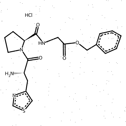 Cl.N[C@@H](Cc1cscn1)C(=O)N1CCC[C@H]1C(=O)NCC(=O)OCc1ccccc1